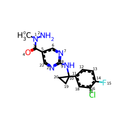 CN(N)C(=O)c1cnc(NC2(c3ccc(F)c(Cl)c3)CC2)nc1